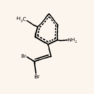 Cc1ccc(N)c(C=C(Br)Br)c1